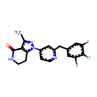 Cc1nn(-c2ccnc(Cc3cc(F)c(Cl)c(F)c3)c2)c2c1C(=O)NCC2